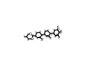 CC1COC(C2C=C(F)C(C3C=C(F)C(C4C=C(F)C(F)C(F)C4)CC3)CC2)OC1